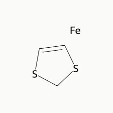 C1=CSCS1.[Fe]